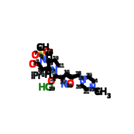 CC(C)[C@H]1C(=O)N(S(C)(=O)=O)[C@H]2CCN(C(=O)c3cc(CN4CCN(C)CC4)on3)[C@H]12.Cl